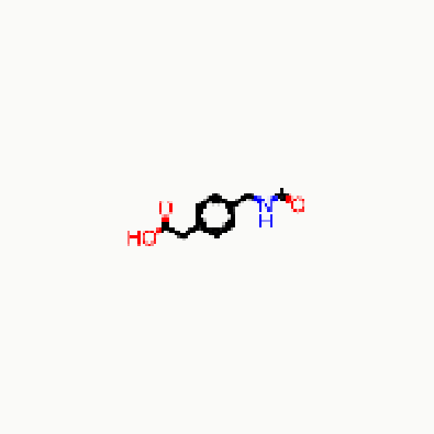 O=[C]NCc1ccc(CC(=O)O)cc1